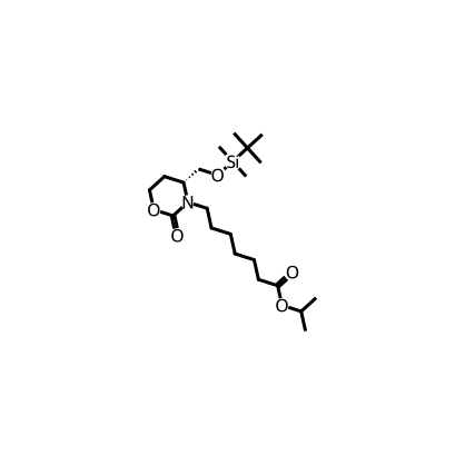 CC(C)OC(=O)CCCCCCN1C(=O)OCC[C@@H]1CO[Si](C)(C)C(C)(C)C